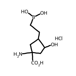 Cl.NC1(C(=O)O)CC(O)C(CCB(O)O)C1